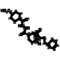 O=C(NNC(=O)[C@@H]1CC[C@@H]2CN1C(=O)N2OCc1ccccc1)C1CCN(C(=O)O)CC1